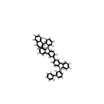 c1ccc(-c2cccc(-n3c4ccccc4c4cc(-c5ccc6c(c5)c5ccccc5n6-c5ccccc5-c5cccc6ccccc56)ccc43)c2)cc1